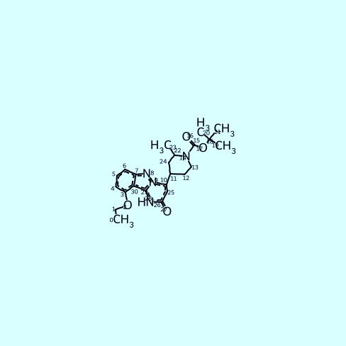 CCOc1cccc2nn3c(C4CCN(C(=O)OC(C)(C)C)C(C)C4)cc(=O)[nH]c3c12